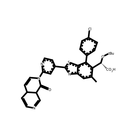 Cc1cc2nc(-c3ccnc(N4C=CC5C=CN=CC5C4=O)c3)sc2c(-c2ccc(Cl)cc2)c1[C@H](OC(C)(C)C)C(=O)O